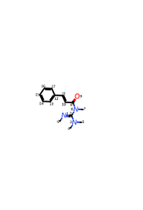 CN=C(N(C)C)N(C)C(=O)C=Cc1ccccc1